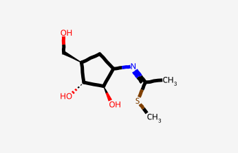 CS/C(C)=N\C1C[C@H](CO)[C@@H](O)[C@@H]1O